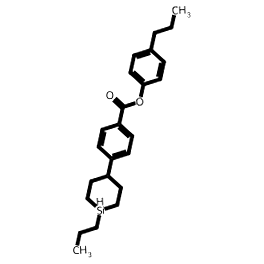 CCCc1ccc(OC(=O)c2ccc(C3CC[SiH](CCC)CC3)cc2)cc1